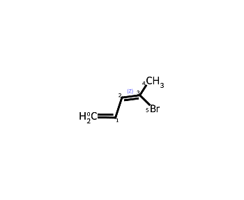 C=C/C=C(/C)Br